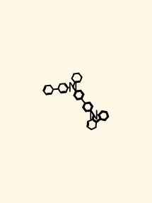 C1=CCC(C2C=CC(N(C3=CCCCC3)c3ccc(-c4ccc(-n5c6c(c7ccccc75)CCC=C6)cc4)cc3)=CC2)C=C1